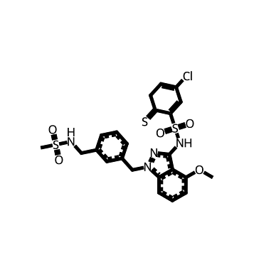 COc1cccc2c1c(NS(=O)(=O)C1=CC(Cl)=CCC1=S)nn2Cc1cccc(CNS(C)(=O)=O)c1